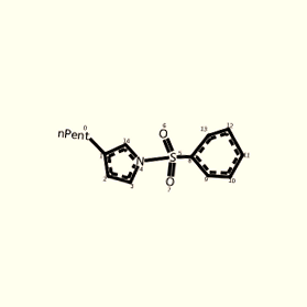 CCCCCc1ccn(S(=O)(=O)c2ccccc2)c1